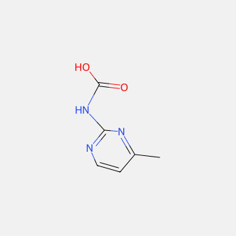 Cc1ccnc(NC(=O)O)n1